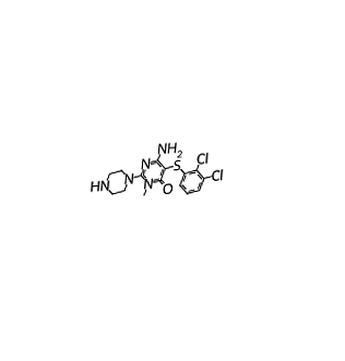 Cn1c(N2CCNCC2)nc(N)c(Sc2cccc(Cl)c2Cl)c1=O